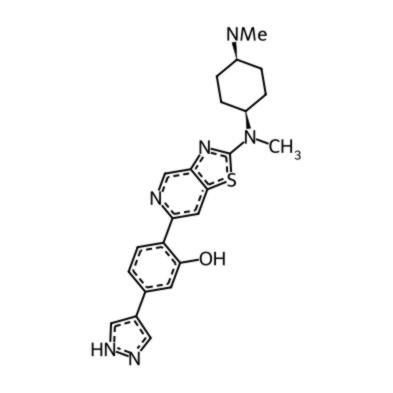 CN[C@H]1CC[C@@H](N(C)c2nc3cnc(-c4ccc(-c5cn[nH]c5)cc4O)cc3s2)CC1